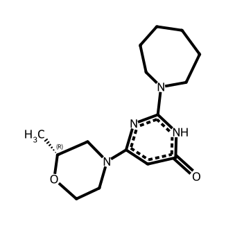 C[C@@H]1CN(c2cc(=O)[nH]c(N3CCCCCC3)n2)CCO1